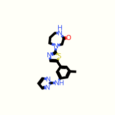 Cc1cc(Nc2ncccn2)cc(-c2cnc(N3CCCNC(=O)C3)s2)c1